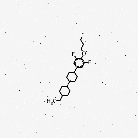 CCC1CCC(C2CCC(c3cc(F)c(OCCCF)c(F)c3)CC2)CC1